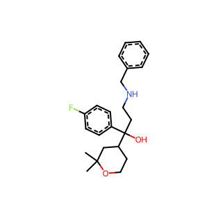 CC1(C)CC(C(O)(CCNCc2ccccc2)c2ccc(F)cc2)CCO1